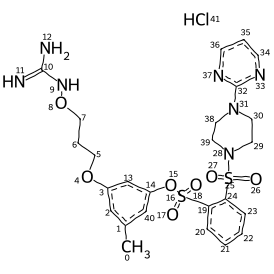 Cc1cc(OCCCONC(=N)N)cc(OS(=O)(=O)c2ccccc2S(=O)(=O)N2CCN(c3ncccn3)CC2)c1.Cl